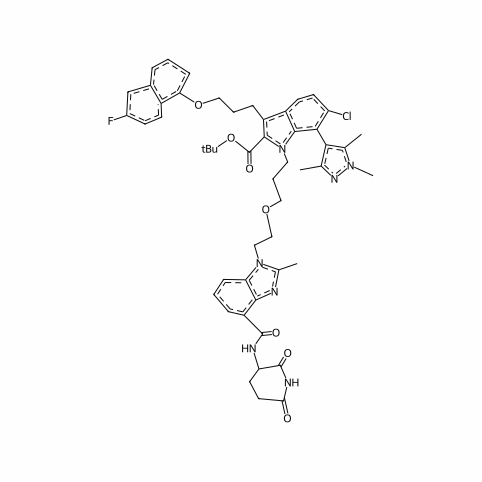 Cc1nn(C)c(C)c1-c1c(Cl)ccc2c(CCCOc3cccc4cc(F)ccc34)c(C(=O)OC(C)(C)C)n(CCCOCCn3c(C)nc4c(C(=O)NC5CCC(=O)NC5=O)cccc43)c12